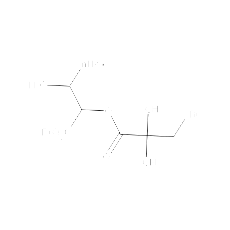 CCCCCCC(C)C(OC(=O)C(C)(C)CC(C)(C)C)C(=O)OCC